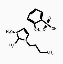 CCCCN1C=CN(C)C1C.Cc1ccccc1S(=O)(=O)O